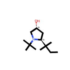 CCC(C)(C)[C@@H]1C[C@@H](O)CN1C(C)(C)C